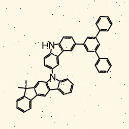 CC1(C)c2ccccc2-c2cc3c4ccccc4n(-c4ccc5[nH]c6ccc(-c7cc(-c8ccccc8)cc(-c8ccccc8)c7)cc6c5c4)c3cc21